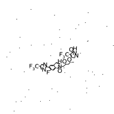 C[C@@H](CC(O)Cn1ccc2cc(-c3ncc(C(F)(F)F)cn3)c(F)cc2c1=O)Oc1cn[nH]c(=O)c1C(F)(F)F